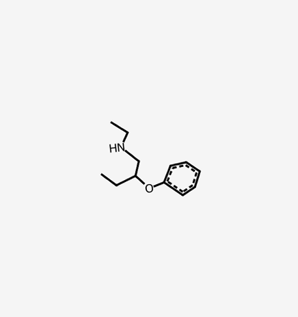 CCNCC(CC)Oc1ccccc1